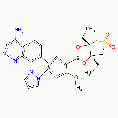 CC[C@@]12CS(=O)(=O)C[C@]1(CC)OB(c1cc(-c3ccc4c(N)cnnc4c3)c(-n3cccn3)cc1OC)O2